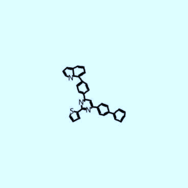 c1ccc(-c2ccc(-c3cc(-c4ccc(-c5cccc6cccnc56)cc4)nc(-c4cccs4)n3)cc2)cc1